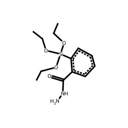 CCO[Si](OCC)(OCC)c1ccccc1C(=O)NN